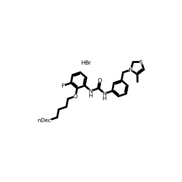 Br.CCCCCCCCCCCCCCOc1c(F)cccc1NC(=O)Nc1cccc(CN2CSC=C2C)c1